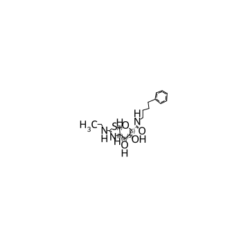 CCNC1=N[C@@H]2[C@@H](O)[C@H](O)[C@@H](C(=O)NCCCCc3ccccc3)O[C@@H]2S1